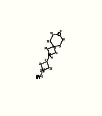 CC(C)N1CC(N2CC3(CCOCC3)C2)C1